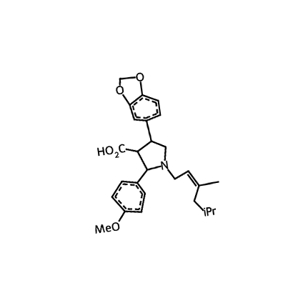 COc1ccc(C2C(C(=O)O)C(c3ccc4c(c3)OCO4)CN2CC=C(C)CC(C)C)cc1